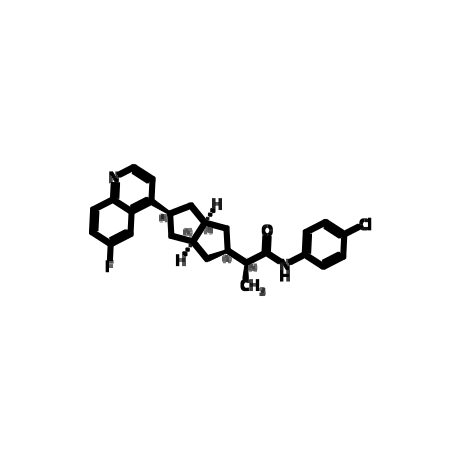 C[C@H](C(=O)Nc1ccc(Cl)cc1)[C@H]1C[C@H]2C[C@@H](c3ccnc4ccc(F)cc34)C[C@H]2C1